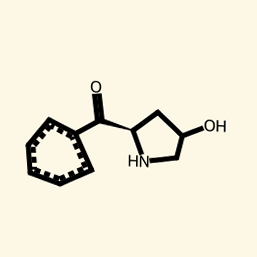 O=C(c1ccccc1)[C@H]1CC(O)CN1